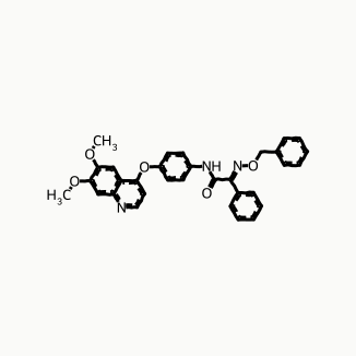 COc1cc2nccc(Oc3ccc(NC(=O)C(=NOCc4ccccc4)c4ccccc4)cc3)c2cc1OC